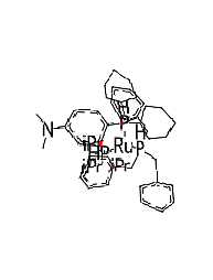 CC(C)[PH](C(C)C)(C(C)C)[Ru]([PH](Cc1ccccc1)(Cc1ccccc1)Cc1ccccc1)[PH](c1ccc(N(C)C)cc1)(C1CCCCC1)C1CCCCC1